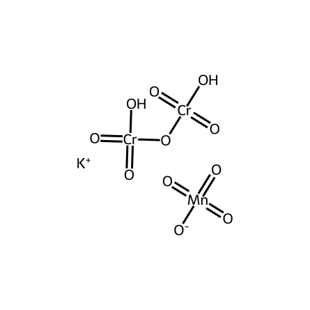 [K+].[O]=[Cr](=[O])([OH])[O][Cr](=[O])(=[O])[OH].[O]=[Mn](=[O])(=[O])[O-]